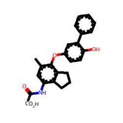 Cc1cc(NC(=O)C(=O)O)c2c(c1Oc1ccc(O)c(-c3ccccc3)c1)CCC2